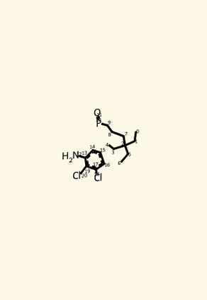 CCC(CC)(CC)CCCP=O.Nc1cccc(Cl)c1Cl